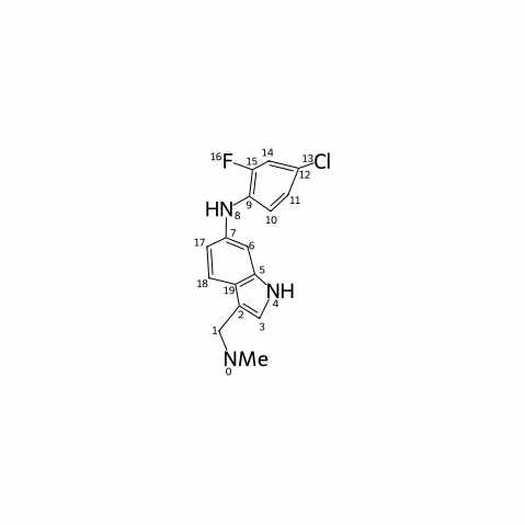 CNCc1c[nH]c2cc(Nc3ccc(Cl)cc3F)ccc12